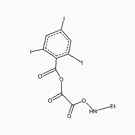 CCNOC(=O)C(=O)OC(=O)c1c(I)cc(I)cc1I